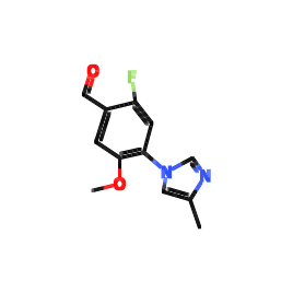 COc1cc(C=O)c(F)cc1-n1cnc(C)c1